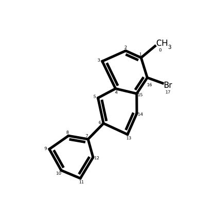 Cc1ccc2cc(-c3ccccc3)ccc2c1Br